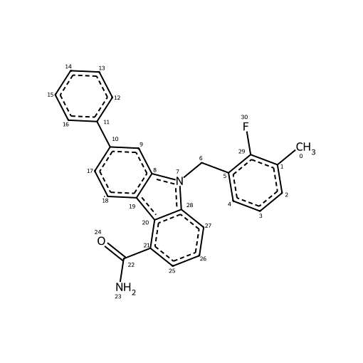 Cc1cccc(Cn2c3cc(-c4ccccc4)c[c]c3c3c(C(N)=O)cccc32)c1F